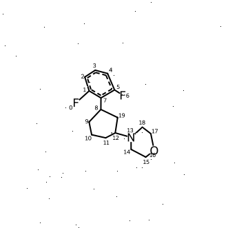 Fc1cccc(F)c1C1CCC[C](N2CCOCC2)C1